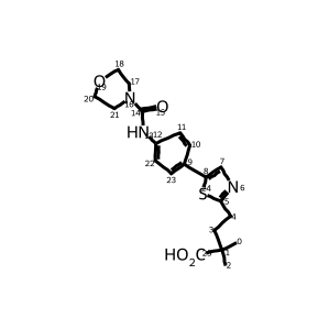 CC(C)(CCc1ncc(-c2ccc(NC(=O)N3CCOCC3)cc2)s1)C(=O)O